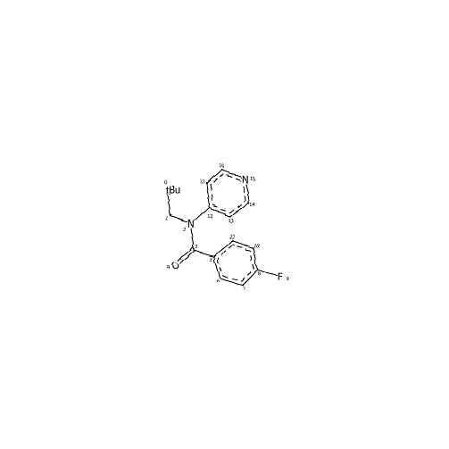 CC(C)(C)CN(C(=O)c1ccc(F)cc1)c1ccncc1